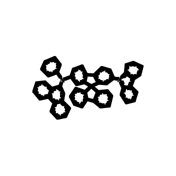 c1ccc(N(c2ccc3c(c2)C2(c4ccccc4-c4ccccc42)c2cc(-n4c5ccccc5c5ccccc54)ccc2-3)c2cc3ccccc3c3ccccc23)cc1